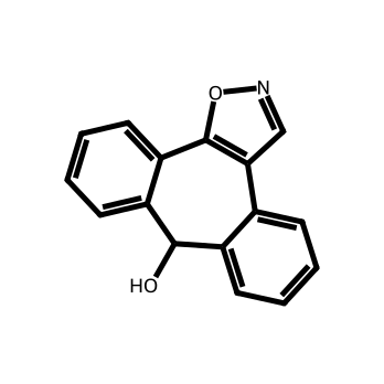 OC1c2ccccc2-c2cnoc2-c2ccccc21